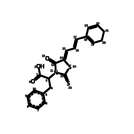 O=C(O)C(Cc1ccccc1)N1C(=O)/C(=C/C=C/C2=CCCC=C2)SC1=S